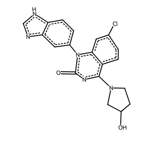 O=c1nc(N2CCC(O)C2)c2ccc(Cl)cc2n1-c1ccc2[nH]cnc2c1